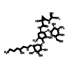 N=C(N)NC1CC1(O)C(=O)N[C@@H]1C[C@H](N)C(O[C@H]2O[C@H](CNCC(O)CCCN)[C@@H](O)[C@H](O)[C@H]2O)[C@H](O)[C@H]1O[C@H]1O[C@H](CO)[C@@H](O)[C@H](N)[C@H]1O